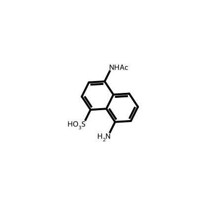 CC(=O)Nc1ccc(S(=O)(=O)O)c2c(N)cccc12